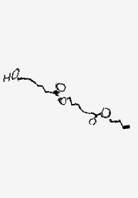 C=CCCOC(=O)CCCCCOC(=O)CCCCCO